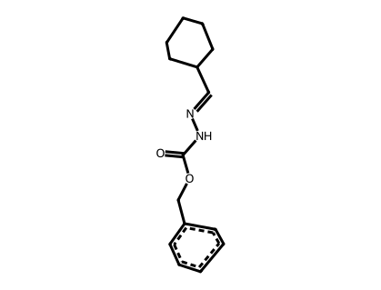 O=C(N/N=C/C1CCCCC1)OCc1ccccc1